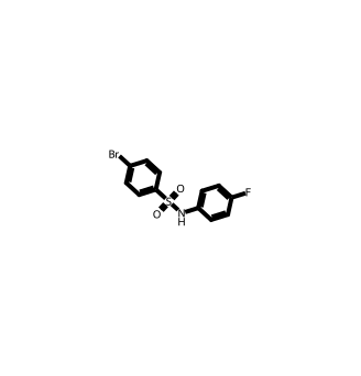 O=S(=O)(Nc1ccc(F)cc1)c1ccc(Br)cc1